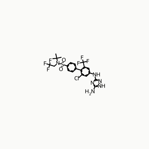 CC(C)(C)N(CC(F)(F)F)S(=O)(=O)c1ccc(-c2c(Cl)cc(Nc3n[nH]c(N)n3)cc2C(F)(F)F)cc1